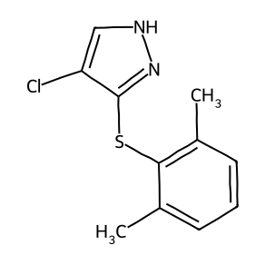 Cc1cccc(C)c1Sc1n[nH]cc1Cl